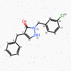 O=c1c(Cc2ccccc2)c[nH]n1Cc1cccc(Cl)c1